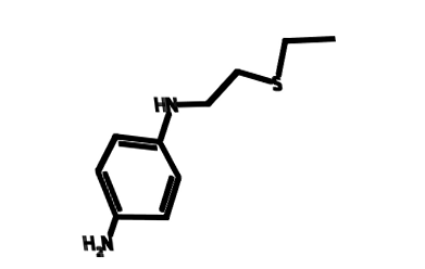 CCSCCNc1ccc(N)cc1